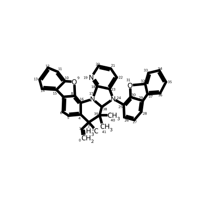 C=CC1(C)c2ccc3c(oc4ccccc43)c2N2c3ncccc3N(c3cccc4c3oc3ccccc34)C2C1(C)C